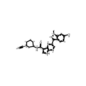 Cn1nc(-c2cnc3[nH]cc(C(=O)NC4CCC[C@H](C#N)C4)c3n2)c2ccc(Cl)cc21